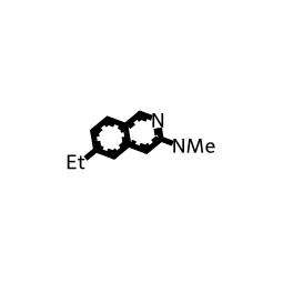 CCc1ccc2cnc(NC)cc2c1